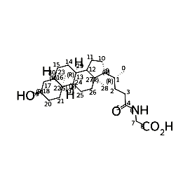 C[C@H](CCC(=O)NCC(=O)O)[C@H]1CCC2[C@@H]3CC[C@@H]4C[C@H](O)CC[C@]4(C)[C@H]3CC[C@@]21C